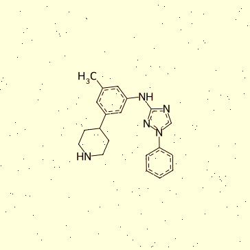 Cc1cc(Nc2ncn(-c3ccccc3)n2)cc(C2CCNCC2)c1